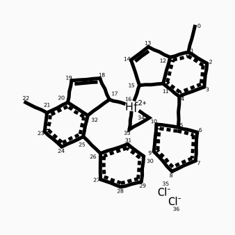 Cc1ccc(-c2ccccc2)c2c1C=C[CH]2[Hf+2]1([CH]2C=Cc3c(C)ccc(-c4ccccc4)c32)[CH2][CH2]1.[Cl-].[Cl-]